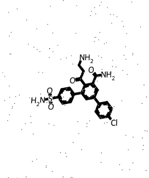 NCCC(=O)c1c(C(N)=O)cc(-c2ccc(Cl)cc2)cc1-c1ccc(S(N)(=O)=O)cc1